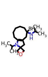 BC1(NC(C)C)CCCCCC2=C(C1)CC1(COC1)N2C(C)C